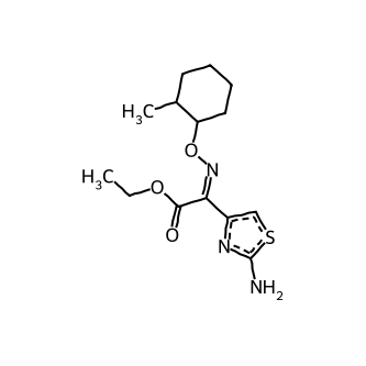 CCOC(=O)C(=NOC1CCCCC1C)c1csc(N)n1